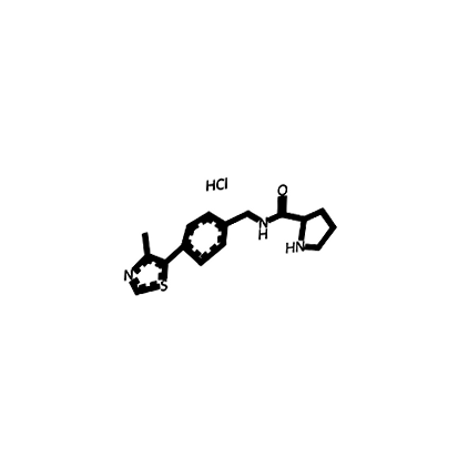 Cc1ncsc1-c1ccc(CNC(=O)C2CCCN2)cc1.Cl